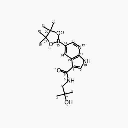 CC(C)(O)CNC(=O)c1c[nH]c2ncc(B3OC(C)(C)C(C)(C)O3)cc12